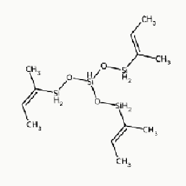 CC=C(C)[SiH2]O[SiH](O[SiH2]C(C)=CC)O[SiH2]C(C)=CC